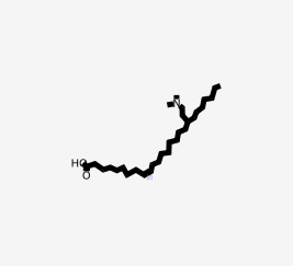 CCCCCCCC(CCCCCCCC/C=C\CCCCCCCC(=O)O)CCN(C)C